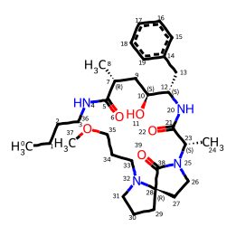 CCCCNC(=O)[C@H](C)C[C@H](O)[C@H](Cc1ccccc1)NC(=O)[C@H](C)N1CC[C@]2(CCCN2CCCOC)C1=O